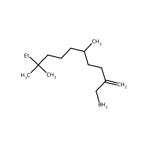 BCC(=C)CCC(C)CCCC(C)(C)CC